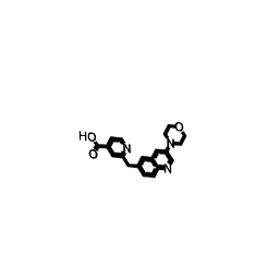 O=C(O)c1ccnc(Cc2ccc3ncc(N4CCOCC4)cc3c2)c1